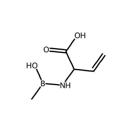 C=CC(NB(C)O)C(=O)O